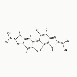 Cn1c(=C(C#N)C#N)nc2c(F)c(F)/c(=c3/c(F)c(F)c4nc(=C(C#N)C#N)n(C)c4c3F)c(F)c21